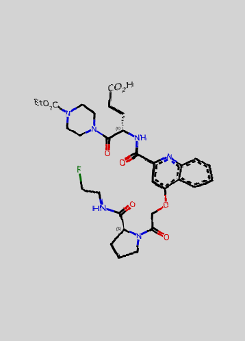 CCOC(=O)N1CCN(C(=O)[C@H](CCC(=O)O)NC(=O)c2cc(OCC(=O)N3CCC[C@H]3C(=O)NCCF)c3ccccc3n2)CC1